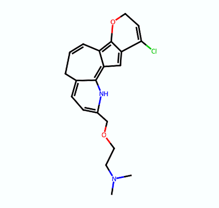 CN(C)CCOCC1=CC=C2CC=CC3=C4OCC=C(Cl)C4=CC3=C2N1